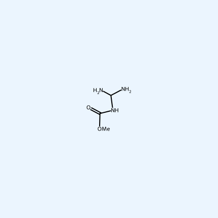 COC(=O)NC(N)N